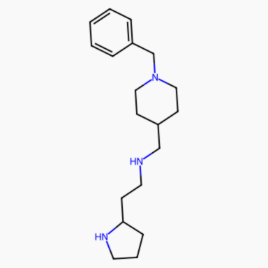 c1ccc(CN2CCC(CNCCC3CCCN3)CC2)cc1